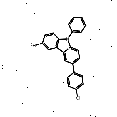 [2H]c1ccc2c(c1)c1cc(-c3ccc(Cl)cc3)ccc1n2-c1ccccc1